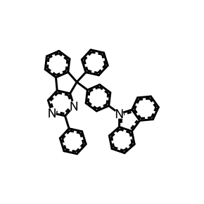 c1ccc(-c2ncc3c(n2)C(c2ccccc2)(c2ccc(-n4c5ccccc5c5ccccc54)cc2)c2ccccc2-3)cc1